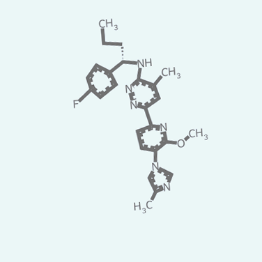 CCC[C@H](Nc1nnc(-c2ccc(-n3cnc(C)c3)c(OC)n2)cc1C)c1ccc(F)cc1